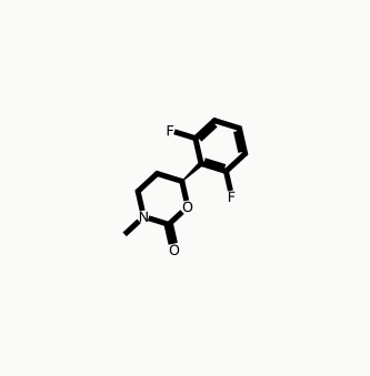 CN1CC[C@@H](c2c(F)cccc2F)OC1=O